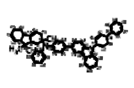 CC1(C)C2=CC(C)(N(c3ccccc3)c3ccc(-c4ccc5c(c4)c4ccccc4n5C4=CCC(c5ccccc5)C=C4)cc3)CC=C2C2C=CC=CC21